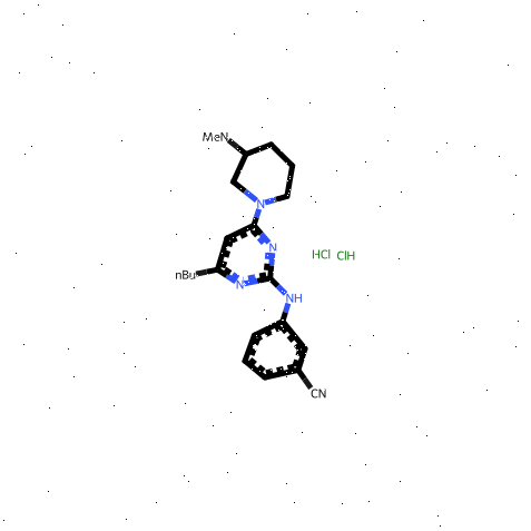 CCCCc1cc(N2CCCC(NC)C2)nc(Nc2cccc(C#N)c2)n1.Cl.Cl